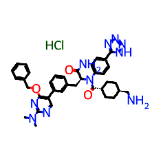 CN(C)c1ncc(-c2cccc(C[C@@H](C(N)=O)N(c3ccc(-c4nnn[nH]4)cc3)C(=O)[C@H]3CC[C@H](CN)CC3)c2)c(OCc2ccccc2)n1.Cl